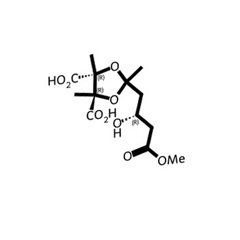 COC(=O)C[C@H](O)CC1(C)O[C@@](C)(C(=O)O)[C@](C)(C(=O)O)O1